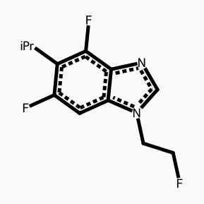 CC(C)c1c(F)cc2c(ncn2CCF)c1F